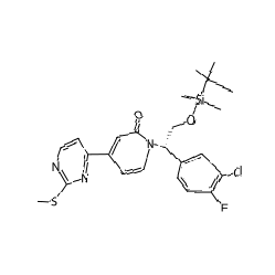 CSc1nccc(-c2ccn([C@H](CO[Si](C)(C)C(C)(C)C)c3ccc(F)c(Cl)c3)c(=O)c2)n1